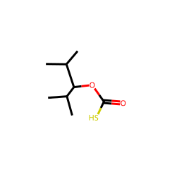 CC(C)C(OC(=O)S)C(C)C